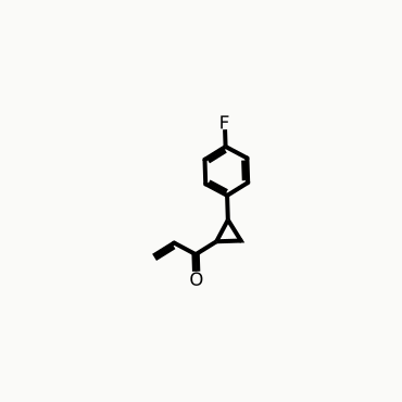 C=CC(=O)C1CC1c1ccc(F)cc1